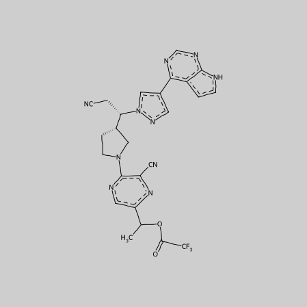 CC(OC(=O)C(F)(F)F)c1cnc(N2CC[C@H]([C@H](CC#N)n3cc(-c4ncnc5[nH]ccc45)cn3)C2)c(C#N)n1